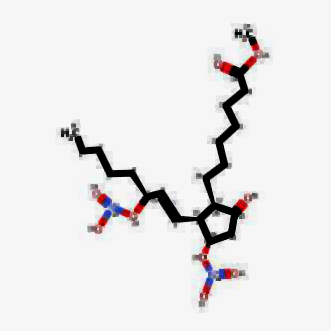 CCCCC[C@@H](/C=C/[C@@H]1[C@H](O[N+](=O)[O-])CC(=O)[C@@H]1CCCCCCC(=O)OC)O[N+](=O)[O-]